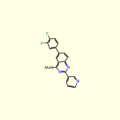 CNc1nc(-c2cccnc2)nc2ccc(-c3ccc(F)c(F)c3)cc12